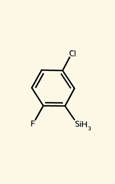 Fc1ccc(Cl)cc1[SiH3]